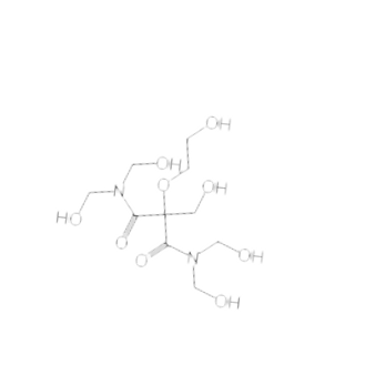 O=C(N(CO)CO)C(CO)(OCCO)C(=O)N(CO)CO